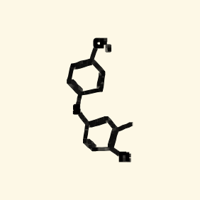 CCc1ccc(Sc2ccc(C(F)(F)F)cc2)cc1C